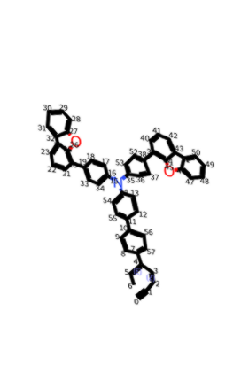 C#C/C=C\C(=C/C)c1ccc(-c2ccc(N(c3ccc(-c4cccc5c4oc4ccccc45)cc3)c3ccc(-c4cccc5c4oc4ccccc45)cc3)cc2)cc1